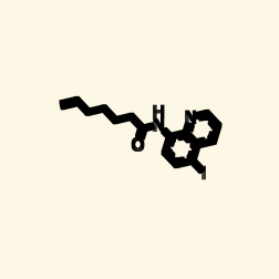 C=CCCCCC(=O)Nc1ccc(I)c2cccnc12